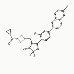 O=C(C1CC1)N1CC(CN2C(=O)C3(CC3)N=C2c2ccc(-c3ccc4cc(F)ccc4n3)cc2F)C1